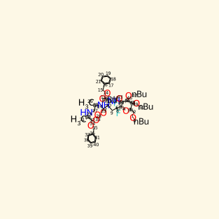 CCCCOC[C@H]1O[C@@H](C(F)(F)CC(NC(=O)OCc2ccccc2)C(=O)N[C@@H](C)C(=O)N[C@@H](C)C(=O)OCc2ccccc2)[C@H](OCCCC)[C@@H](OCCCC)[C@H]1OCCCC